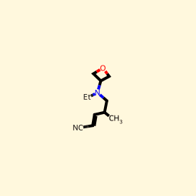 CCN(CC(C)C=CC#N)C1COC1